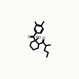 CCCC(C)C(=O)C1CCCCC1(O)C(=O)c1ccc(C)c(C)c1